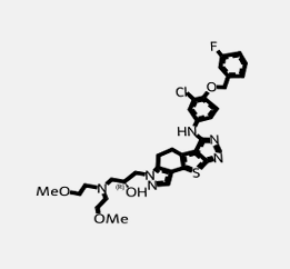 COCCN(CCOC)C[C@@H](O)Cn1ncc2c1CCc1c-2sc2ncnc(Nc3ccc(OCc4cccc(F)c4)c(Cl)c3)c12